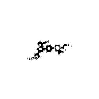 C=CC(=O)N1CCN(c2ccc(-c3cc(-c4cnn(C)c4)cn4ncc(C#N)c34)cc2)CC12CC2